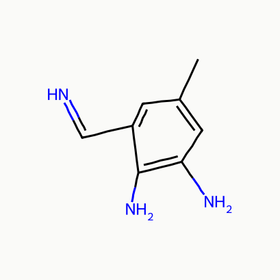 Cc1cc(N)c(N)c(C=N)c1